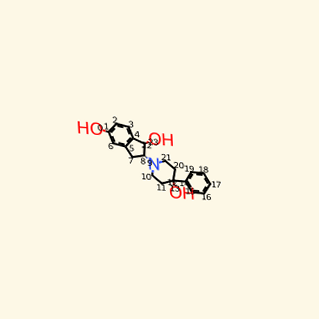 Oc1ccc2c(c1)C[C@@H](N1CCC(O)(c3ccccc3)CC1)[C@@H]2O